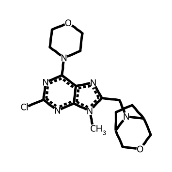 Cn1c(CN2C3CCC2COC3)nc2c(N3CCOCC3)nc(Cl)nc21